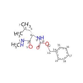 CNC(=O)[C@H](CC(C)C)NC(=O)OCc1ccccc1